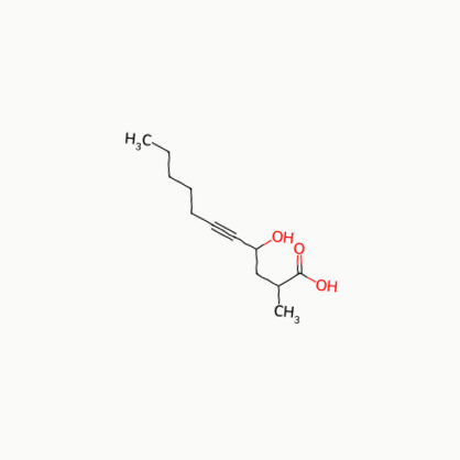 CCCCCC#CC(O)CC(C)C(=O)O